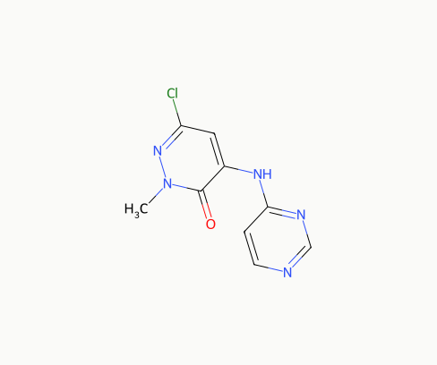 Cn1nc(Cl)cc(Nc2ccncn2)c1=O